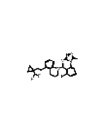 Cc1nnc2nc(N3CCCc4c(CCC5(C(F)F)CC5)cccc43)c3c(F)cccc3n12